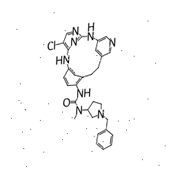 CN(C(=O)Nc1ccc2cc1CCc1cncc(c1)Nc1ncc(Cl)c(n1)N2)C1CCN(Cc2ccccc2)C1